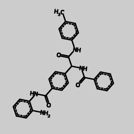 Cc1ccc(NC(=O)C(NC(=O)c2ccccc2)c2ccc(C(=O)Nc3ccccc3N)cc2)cc1